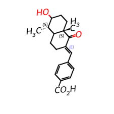 C[C@@H]1C(O)CC[C@]2(C)C(=O)/C(=C/c3ccc(C(=O)O)cc3)CCC12